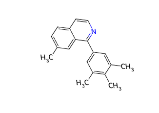 Cc1ccc2ccnc(-c3cc(C)c(C)c(C)c3)c2c1